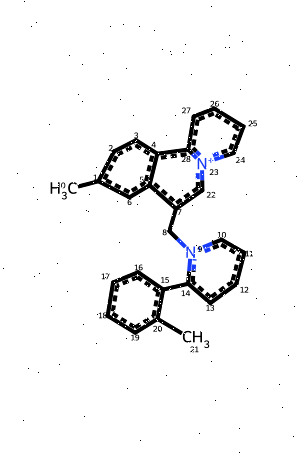 Cc1ccc2c(c1)c(C[n+]1ccccc1-c1ccccc1C)c[n+]1ccccc21